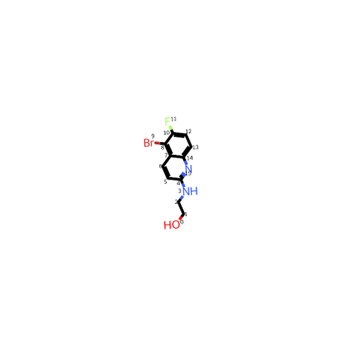 OCCNc1ccc2c(Br)c(F)ccc2n1